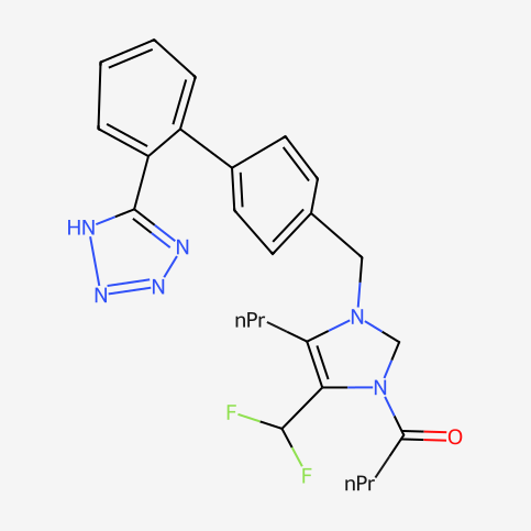 CCCC(=O)N1CN(Cc2ccc(-c3ccccc3-c3nnn[nH]3)cc2)C(CCC)=C1C(F)F